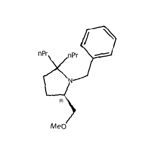 CCCC1(CCC)CC[C@H](COC)N1Cc1ccccc1